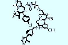 Cc1ncsc1-c1ccc(CNC(=O)[C@@H]2C[C@H](O)CN2C(=O)[C@@H](NC(=O)COCC(C)(C)NC(=O)C[C@@H]2N=C(c3ccc(Cl)cc3)c3c(sc(C)c3C)-n3c(C)nnc32)C(C)(C)C)cc1